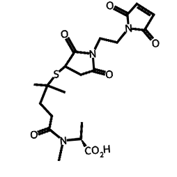 C[C@@H](C(=O)O)N(C)C(=O)CCC(C)(C)SC1CC(=O)N(CCN2C(=O)C=CC2=O)C1=O